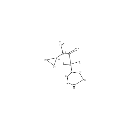 CCCN(C(=O)C(C)(C)C1CCOCC1)C1CC1